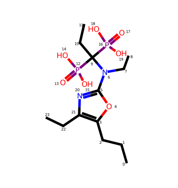 CCCc1oc(N(CC)C(CC)(P(=O)(O)O)P(=O)(O)O)nc1CC